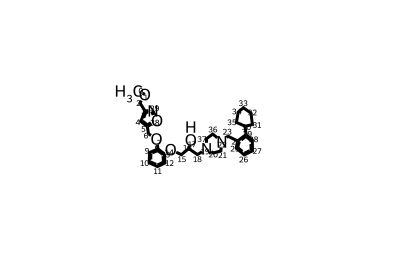 COCc1cc(COc2ccccc2OCC(O)CN2CCN(Cc3ccccc3C3CCCCC3)CC2)on1